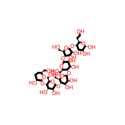 OCC[C@H]1O[C@H](O)[C@@H](O)C[C@@H]1O[C@H]1O[C@H](CO)[C@@H](O[C@H]2O[C@H](CO)[C@@H](O[C@H]3O[C@H](CO)[C@@H](O[C@H]4O[C@H](CO)[C@@H](O[C@H]5O[C@H](CO)CC[C@@H]5O)[C@@H](O)[C@@H]4O)[C@@H](O)[C@@H]3O)[C@@H](O)[C@@H]2O)[C@@H](O)[C@@H]1O